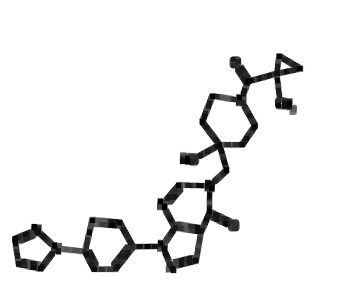 CC1(C(=O)N2CCC(O)(Cn3cnc4c(cnn4-c4ccc(-n5cccn5)cc4)c3=O)CC2)CC1